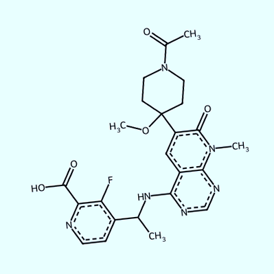 COC1(c2cc3c(NC(C)c4ccnc(C(=O)O)c4F)ncnc3n(C)c2=O)CCN(C(C)=O)CC1